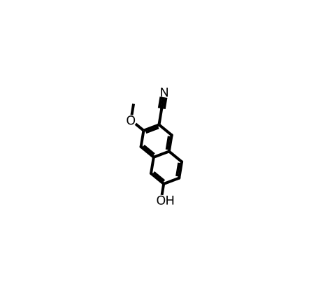 COc1cc2cc(O)ccc2cc1C#N